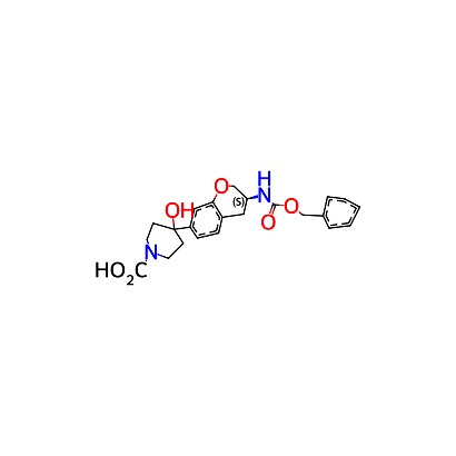 O=C(N[C@@H]1COc2cc(C3(O)CCN(C(=O)O)CC3)ccc2C1)OCc1ccccc1